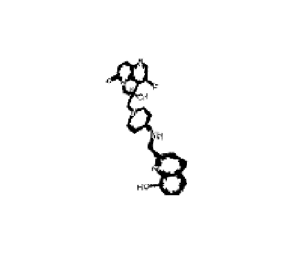 O=c1ccc2ncc(F)c3c2n1C[C@@]3(O)CN1CCC(NCc2ccc3cccc(O)c3n2)CC1